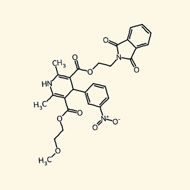 COCCOC(=O)C1=C(C)NC(C)=C(C(=O)OCCN2C(=O)c3ccccc3C2=O)C1c1cccc([N+](=O)[O-])c1